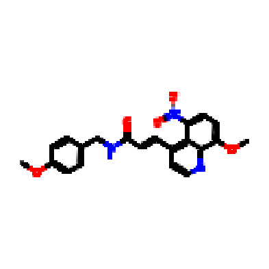 COc1ccc(CNC(=O)C=Cc2ccnc3c(OC)ccc([N+](=O)[O-])c23)cc1